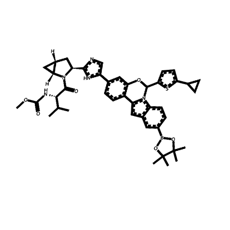 COC(=O)N[C@H](C(=O)N1[C@@H]2C[C@@H]2C[C@H]1c1ncc(-c2ccc3c(c2)OC(c2ccc(C4CC4)s2)n2c-3cc3cc(B4OC(C)(C)C(C)(C)O4)ccc32)[nH]1)C(C)C